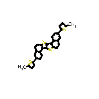 Cc1ccc(-c2ccc3c(ccc4sc5c(sc6ccc7cc(-c8ccc(C)s8)ccc7c65)c43)c2)s1